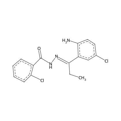 CC/C(=N\NC(=O)c1ccccc1Cl)c1cc(Cl)ccc1N